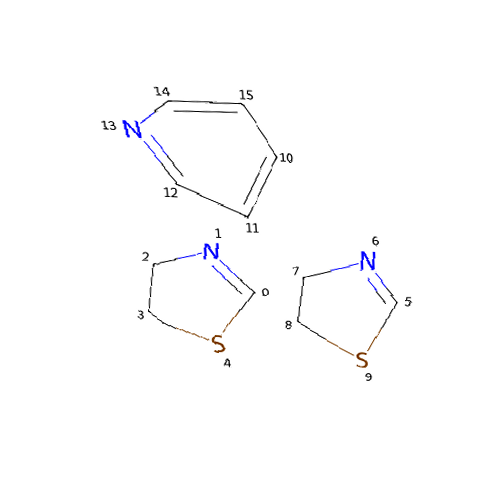 C1=NCCS1.C1=NCCS1.c1ccncc1